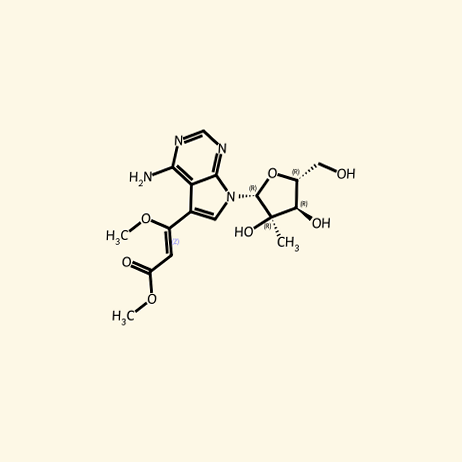 COC(=O)/C=C(\OC)c1cn([C@@H]2O[C@H](CO)[C@@H](O)[C@@]2(C)O)c2ncnc(N)c12